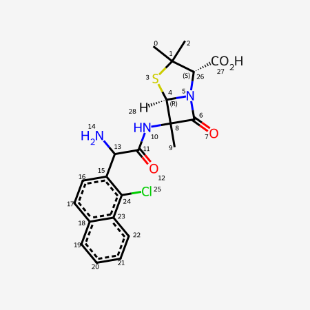 CC1(C)S[C@H]2N(C(=O)C2(C)NC(=O)C(N)c2ccc3ccccc3c2Cl)[C@H]1C(=O)O